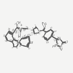 C[C@@H](NC[C@@H]1CN(C(=O)c2ccc(-c3nc(=O)o[nH]3)cc2)C[C@@H]1c1ccccc1)c1cccc2ccccc12